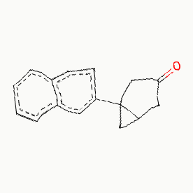 O=C1CC2CC2(c2ccc3ccccc3c2)C1